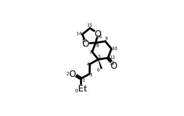 CCC(=O)CC[C@]1(C)CC2(CCC1=O)OCCO2